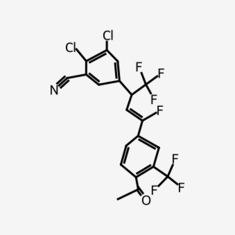 CC(=O)c1ccc(/C(F)=C/C(c2cc(Cl)c(Cl)c(C#N)c2)C(F)(F)F)cc1C(F)(F)F